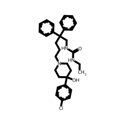 CCNC(=O)NCC(CCCN1CCC(O)(c2ccc(Cl)cc2)CC1)(c1ccccc1)c1ccccc1